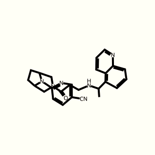 CC(NCCC(=O)N1CC2CCC(C1)N2c1ccc(C#N)cn1)c1cccc2ncccc12